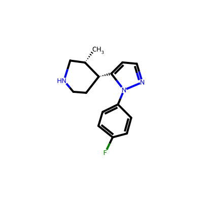 C[C@H]1CNCC[C@H]1c1ccnn1-c1ccc(F)cc1